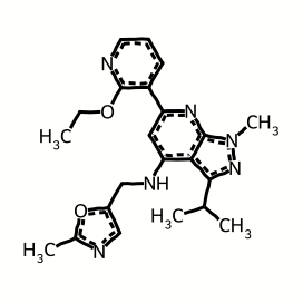 CCOc1ncccc1-c1cc(NCc2cnc(C)o2)c2c(C(C)C)nn(C)c2n1